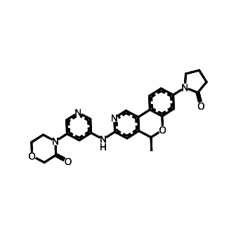 CC1Oc2cc(N3CCCC3=O)ccc2-c2cnc(Nc3cncc(N4CCOCC4=O)c3)cc21